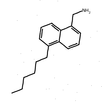 CCCCCCc1cccc2c(CN)cccc12